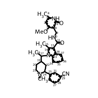 COc1cc(C)[nH]c(=O)c1CNC(=O)c1c(C)n(C(C)C2CCN(C)C(c3cccc(C#N)c3)C2)c2ccccc12